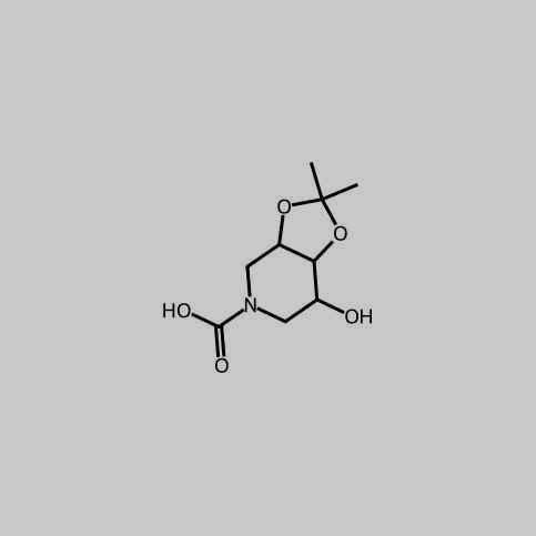 CC1(C)OC2CN(C(=O)O)CC(O)C2O1